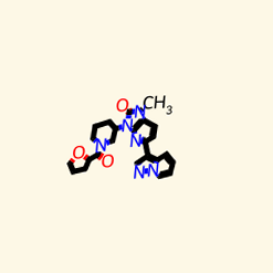 Cn1c(=O)n(C2CCCN(C(=O)C3CCCO3)C2)c2nc(-c3cnn4ccccc34)ccc21